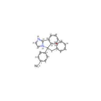 N#Cc1ccc(C2(Cc3ccccc3)c3ccccc3-c3nccn32)cc1